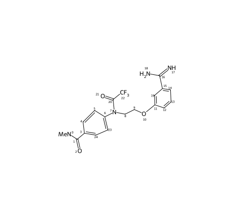 CNC(=O)c1ccc(N(CCOc2cccc(C(=N)N)c2)C(=O)C(F)(F)F)cc1